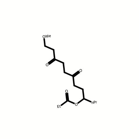 CCCC(CCC(=O)CCC(=O)CCOC)OC(=O)CC